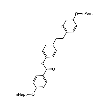 CCCCCCCOc1ccc(C(=O)Oc2ccc(CCc3ccc(OCCCCC)cn3)cc2)cc1